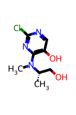 C[C@@H](CO)N(C)c1nc(Cl)ncc1O